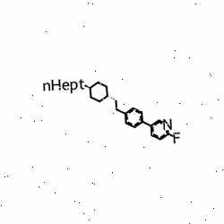 CCCCCCC[C@H]1CC[C@H](CCc2ccc(-c3ccc(F)nc3)cc2)CC1